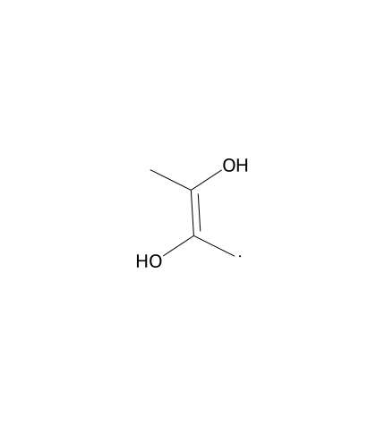 [CH2]C(O)=C(C)O